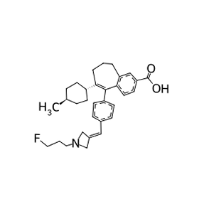 C[C@H]1CC[C@H](C2=C(c3ccc(C=C4CN(CCCF)C4)cc3)c3ccc(C(=O)O)cc3CCC2)CC1